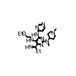 CCOCCNc1c(Nc2ccncn2)nc(N(C)C2CCN(C)CC2)nc1C(=N)CC